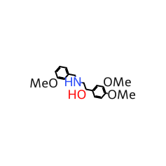 COc1cccc(CNCC(O)c2ccc(OC)c(OC)c2)c1